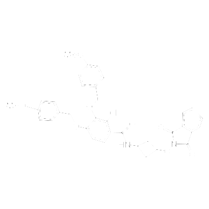 COc1ccc(COc2ccc(C(=O)NC3CC(ON4C(=O)c5ccccc5C4=O)C3)c(Cl)c2OCc2ccc(OC)cc2)cc1